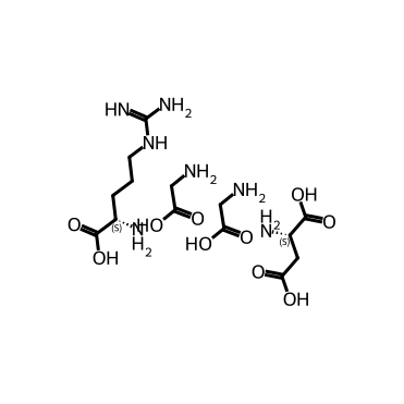 N=C(N)NCCC[C@H](N)C(=O)O.NCC(=O)O.NCC(=O)O.N[C@@H](CC(=O)O)C(=O)O